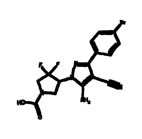 N#Cc1c(-c2ccc(Br)cc2)nn(C2CN(C(=O)O)CC2(F)F)c1N